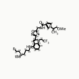 COCC(C)n1ccc(C(=O)NCc2nc(-c3cc4c(NCCCN(CCF)C(C)(C)C)cccc4n3CC(F)(F)F)no2)c1